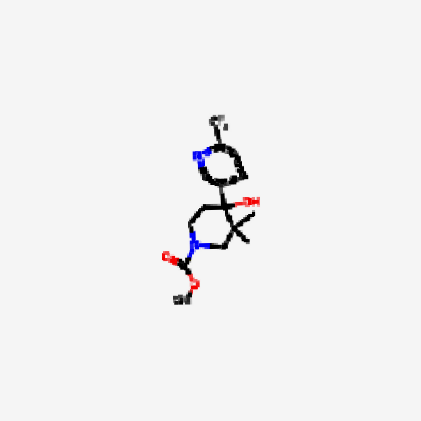 CC(C)(C)OC(=O)N1CCC(O)(c2ccc(C(F)(F)F)nc2)C(C)(C)C1